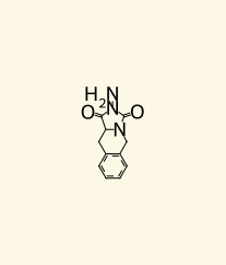 NN1C(=O)C2Cc3ccccc3CN2C1=O